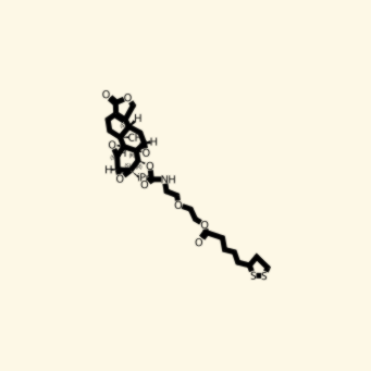 CC(C)[C@]12O[C@H]1[C@@H]1O[C@]13[C@]1(O[C@H]1C[C@H]1C4=C(CC[C@@]13C)C(=O)OC4)[C@@H]2OC(=O)NCCOCCOC(=O)CCCCC1CCSS1